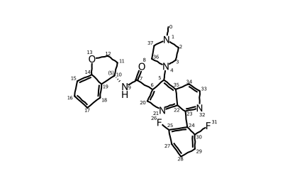 CN1CCN(c2c(C(=O)N[C@H]3CCOc4ccccc43)cnc3c(-c4c(F)cccc4F)nccc23)CC1